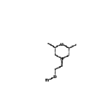 CCOCCN1CC(C)OC(C)C1